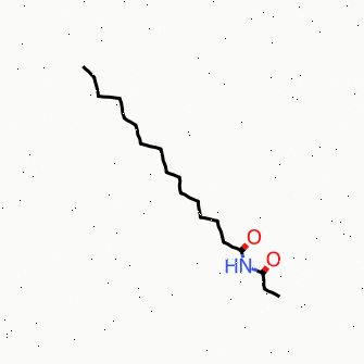 CCCCCCCCCCCCCCCC(=O)NC(=O)CC